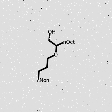 CCCCCCCCCCCCOC(CO)CCCCCCCC